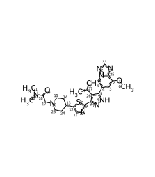 COc1cc(-c2[nH]nc(-c3ncc(C4CCN(CC(=O)N(C)C)CC4)s3)c2C(C)C)cn2ncnc12